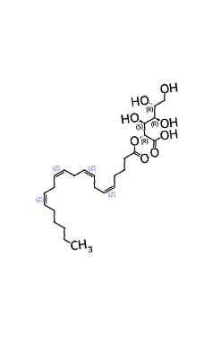 CCCCC/C=C\C/C=C\C/C=C\C/C=C\CCCC(=O)O[C@@H](C(=O)O)[C@@H](O)[C@H](O)[C@H](O)CO